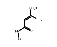 CCC(C)NC(=O)C=C(C)C(=O)O